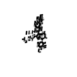 CCSc1nn2c(-c3ccc(Cl)c(F)c3)ccnc2c1-c1nc2cc(C(F)(F)F)ncc2n1C